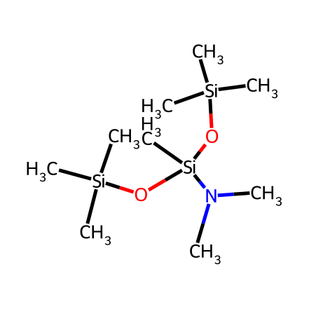 CN(C)[Si](C)(O[Si](C)(C)C)O[Si](C)(C)C